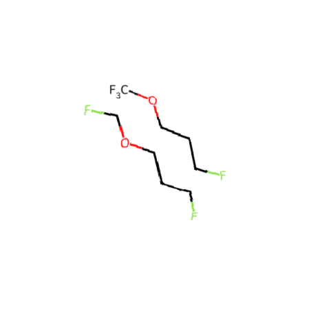 FCCCOC(F)(F)F.FCCCOCF